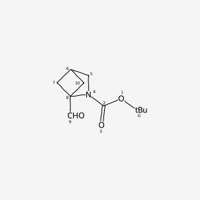 CC(C)(C)OC(=O)N1CC2CC1(C=O)C2